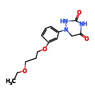 CCOCCCOc1cccc(N2CC(=O)NC(=O)N2)c1